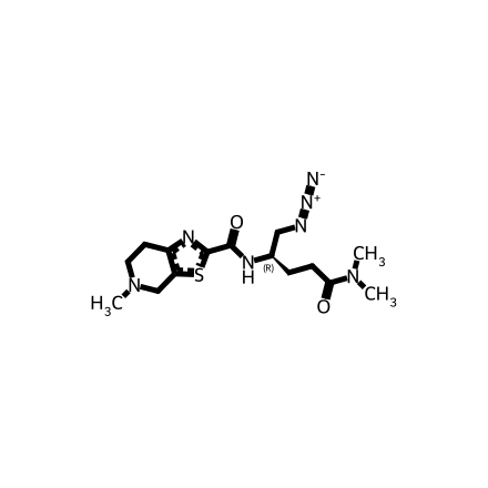 CN1CCc2nc(C(=O)N[C@H](CCC(=O)N(C)C)CN=[N+]=[N-])sc2C1